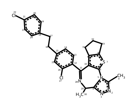 Cc1nnc2n1-c1sc3c(c1C(c1ccc(CCc4ccc(Cl)cc4)cc1Cl)=NC2C)CCC3